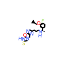 C[C@@H](NCCCc1cncc(CN2CC(=S)NC2=O)n1)c1ccc(F)c(OCC2CC2)c1